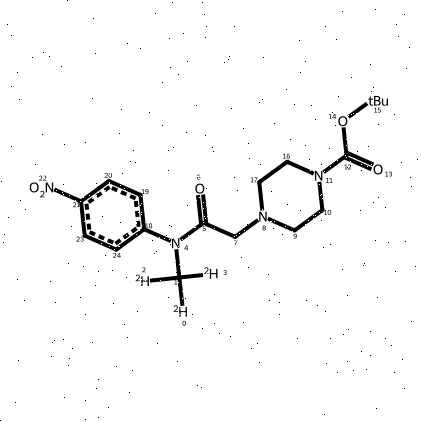 [2H]C([2H])([2H])N(C(=O)CN1CCN(C(=O)OC(C)(C)C)CC1)c1ccc([N+](=O)[O-])cc1